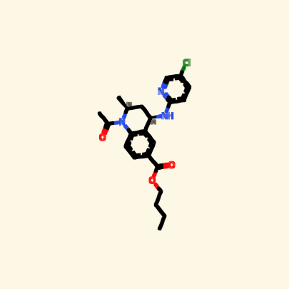 CCCCOC(=O)c1ccc2c(c1)[C@H](Nc1ccc(Cl)cn1)C[C@H](C)N2C(C)=O